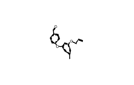 C=CCOc1cc(C)cc(Oc2ccc(C=O)cc2)c1